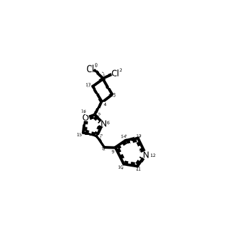 ClC1(Cl)CC(c2nc(Cc3ccncc3)co2)C1